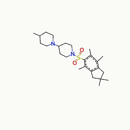 Cc1c(C)c(S(=O)(=O)N2CCC(N3CCC(C)CC3)CC2)c(C)c2c1CC(C)(C)C2